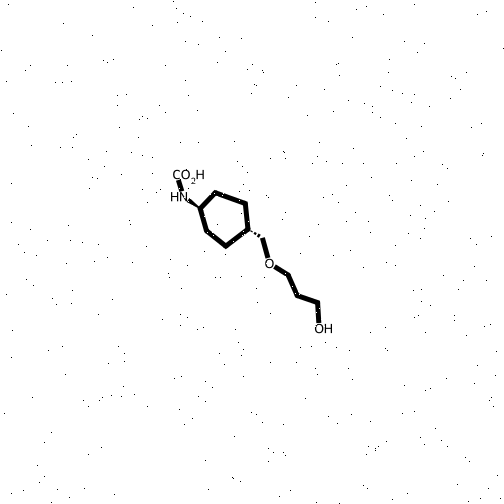 O=C(O)N[C@H]1CC[C@H](COCCCO)CC1